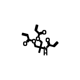 C=CC(=O)NC(C)(COC(=O)C=C)COC(=O)C=C